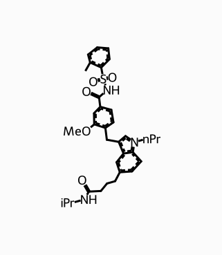 CCCn1cc(Cc2ccc(C(=O)NS(=O)(=O)c3ccccc3C)cc2OC)c2cc(CCCC(=O)NC(C)C)ccc21